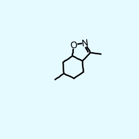 CC1=NOC2CC(C)CCC12